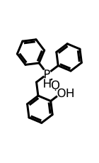 [O][PH](Cc1ccccc1O)(c1ccccc1)c1ccccc1